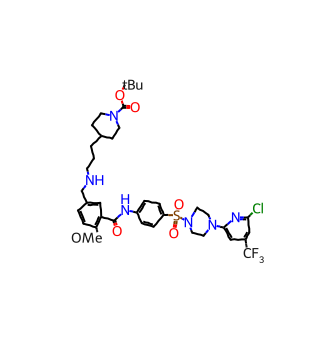 COc1ccc(CNCCCC2CCN(C(=O)OC(C)(C)C)CC2)cc1C(=O)Nc1ccc(S(=O)(=O)N2CCN(c3cc(C(F)(F)F)cc(Cl)n3)CC2)cc1